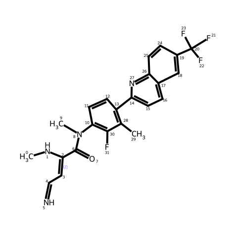 CN/C(=C\C=N)C(=O)N(C)c1ccc(-c2ccc3cc(C(F)(F)F)ccc3n2)c(C)c1F